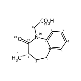 C[C@H]1CCc2ccccc2N(CC(=O)O)C1=O